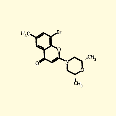 Cc1cc(Br)c2oc(N3C[C@@H](C)O[C@@H](C)C3)cc(=O)c2c1